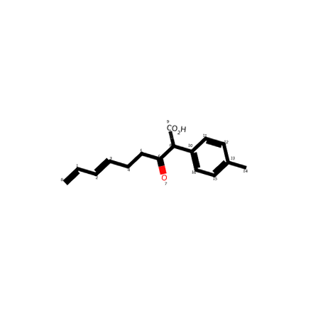 C=CC=CCCC(=O)C(C(=O)O)c1ccc(C)cc1